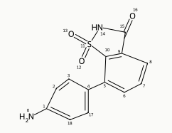 Nc1ccc(-c2cccc3c2S(=O)(=O)NC3=O)cc1